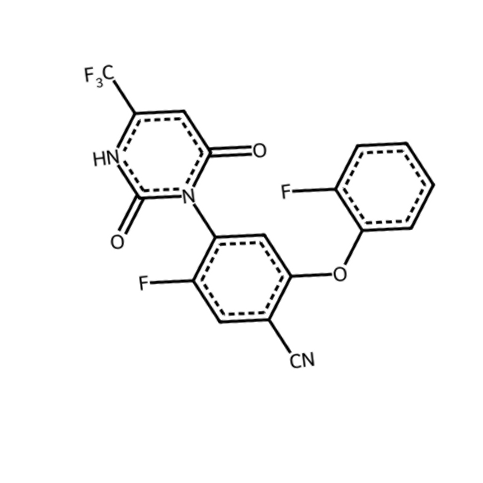 N#Cc1cc(F)c(-n2c(=O)cc(C(F)(F)F)[nH]c2=O)cc1Oc1ccccc1F